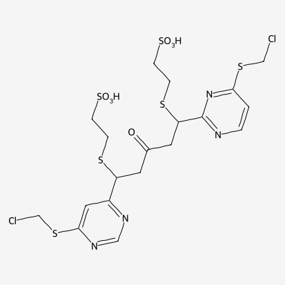 O=C(CC(SCCS(=O)(=O)O)c1cc(SCCl)ncn1)CC(SCCS(=O)(=O)O)c1nccc(SCCl)n1